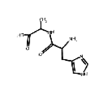 CC(NC(=O)C(N)Cc1c[nH]cn1)C(=O)O